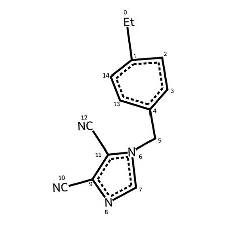 CCc1ccc(Cn2cnc(C#N)c2C#N)cc1